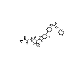 CCCS(=O)(=O)C(C(=O)NCC(=O)NC1CC1)c1nc2cc(-c3ccc(NC(=O)OCc4ccccc4)cc3)c(F)cc2s1